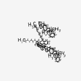 CCCCCCCCCc1c(S(=O)(=O)[O-])c(S(=O)(=O)[O-])c2ccccc2c1CCCCCCCCC.COc1ccc(C[N+](C)(C)c2ccccc2)cc1.COc1ccc(C[N+](C)(C)c2ccccc2)cc1